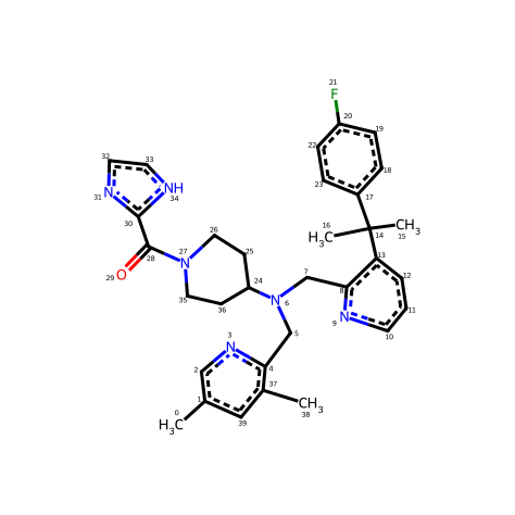 Cc1cnc(CN(Cc2ncccc2C(C)(C)c2ccc(F)cc2)C2CCN(C(=O)c3ncc[nH]3)CC2)c(C)c1